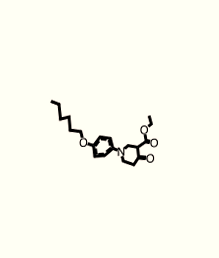 CCCCCCOc1ccc(N2CCC(=O)C(C(=O)OCC)C2)cc1